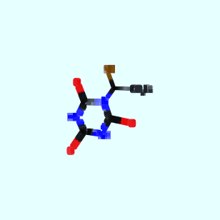 CCOC(=O)C(S)n1c(=O)[nH]c(=O)[nH]c1=O